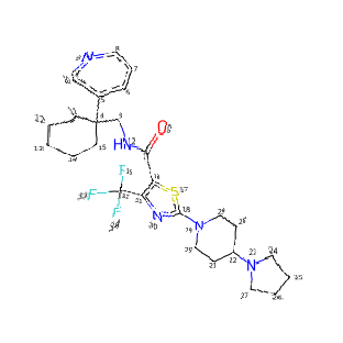 O=C(NCC1(c2cccnc2)CCCCC1)c1sc(N2CCC(N3CCCC3)CC2)nc1C(F)(F)F